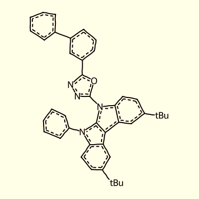 CC(C)(C)c1ccc2c(c1)c1c3cc(C(C)(C)C)ccc3n(-c3nnc(-c4cccc(-c5ccccc5)c4)o3)c1n2-c1ccccc1